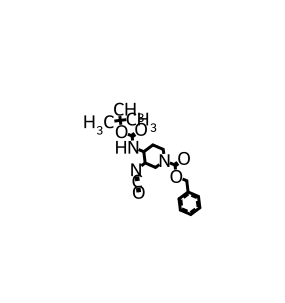 CC(C)(C)OC(=O)NC1CCN(C(=O)OCc2ccccc2)CC1N=C=O